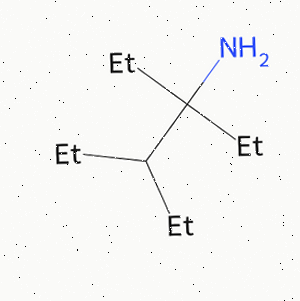 CCC(CC)C(N)(CC)CC